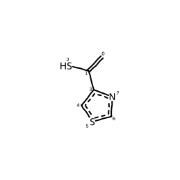 C=C(S)c1cscn1